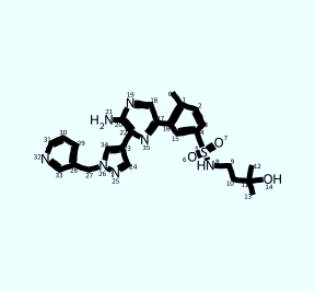 Cc1ccc(S(=O)(=O)NCCC(C)(C)O)cc1-c1cnc(N)c(-c2cnn(Cc3cccnc3)c2)n1